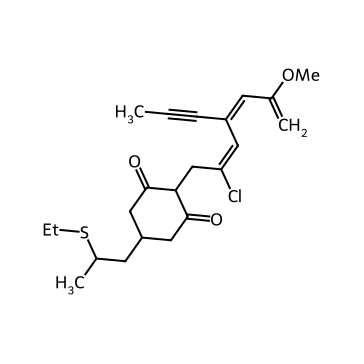 C=C(/C=C(C#CC)\C=C(\Cl)CC1C(=O)CC(CC(C)SCC)CC1=O)OC